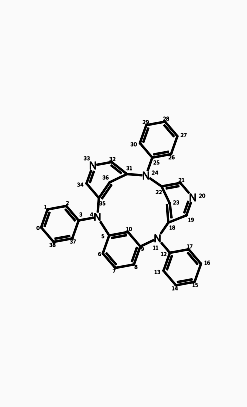 c1ccc(N2c3cccc(c3)N(c3ccccc3)c3cncc(c3)N(c3ccccc3)c3cncc2c3)cc1